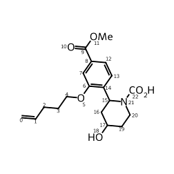 C=CCCCOc1cc(C(=O)OC)ccc1C1CC(O)CCN1C(=O)O